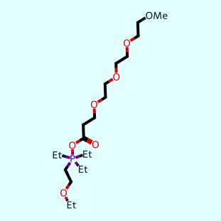 CCOCCP(CC)(CC)(CC)OC(=O)CCOCCOCCOCCOC